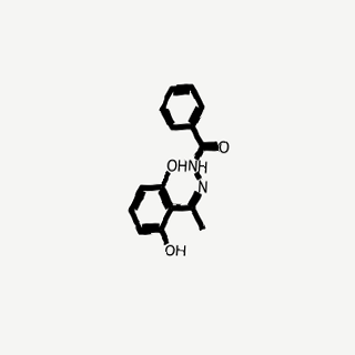 CC(=NNC(=O)c1ccccc1)c1c(O)cccc1O